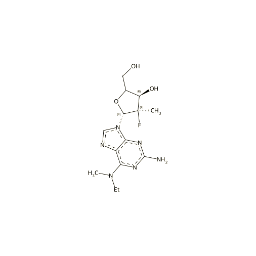 CCN(C)c1nc(N)nc2c1ncn2[C@@H]1OC(CO)[C@@H](O)[C@@]1(C)F